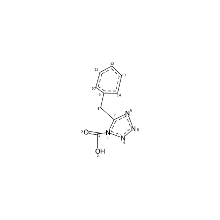 O=C(O)n1nnnc1Cc1ccccc1